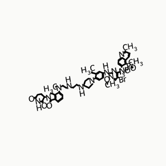 CCc1cc(Nc2ncc(Br)c(Nc3ccc4nc(C)ccc4c3P(C)(C)=O)n2)c(OC)cc1N1CCC(NCCNCCN(C)c2cccc3c2CN(C2CCC(=O)NC2=O)C3=O)CC1